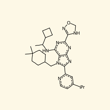 CC(C)c1ccnc(-c2nc3nc(C4=NOCN4)nc(NC(C)C4CCC4)c3n2CC2CCC(C)(C)CC2)c1